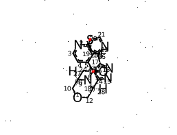 Cc1nccc(C(=O)N2[C@H]3COC[C@@H]2c2nnc(-c4cscn4)n2C3)c1F